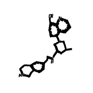 CC1CC(NCc2ccc3c(c2)CCNC3)CN(c2ccc(C#N)c3ncccc23)C1